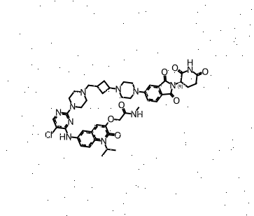 CNC(=O)COc1cc2cc(Nc3nc(N4CCN(CC5CC(N6CCN(c7ccc8c(c7)C(=O)N([C@@H]7CCC(=O)NC7=O)C8=O)CC6)C5)CC4)ncc3Cl)ccc2n(C(C)C)c1=O